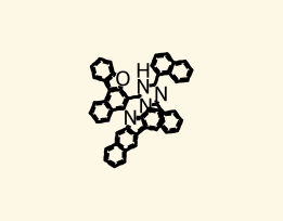 c1ccc(C2=NC(c3cccc4ccccc34)NC(c3c(-n4c5ccccc5c5cc6ccccc6cc54)c4ccccc4c4c3oc3ccccc34)=N2)cc1